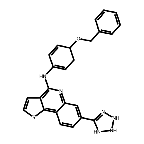 C1=CC(OCc2ccccc2)CC=C1Nc1nc2cc(C3=NNNN3)ccc2c2sccc12